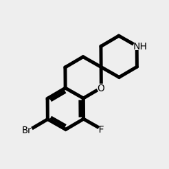 Fc1cc(Br)cc2c1OC1(CCNCC1)CC2